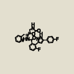 O=C1NC[C@H]([C@@H](Cc2ccccn2)NC(=O)c2cccc(F)c2-c2cc(-c3ccc(F)cc3)[nH]n2)O1